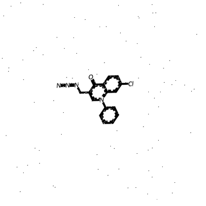 [N-]=[N+]=NCc1cn(-c2ccccc2)c2cc(Cl)ccc2c1=O